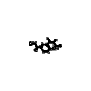 Cc1c(C)c2cc(C(=O)CCl)ccc2[nH]c1=O